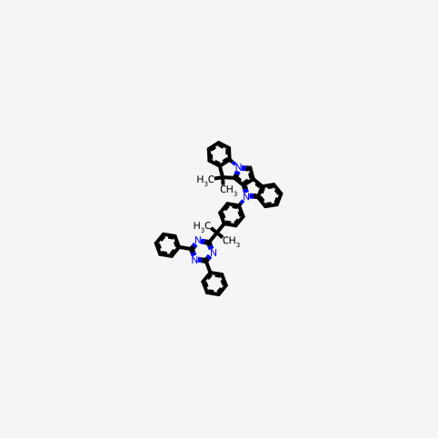 CC(C)(c1ccc(-n2c3ccccc3c3cn4c(c32)C(C)(C)c2ccccc2-4)cc1)c1nc(-c2ccccc2)nc(-c2ccccc2)n1